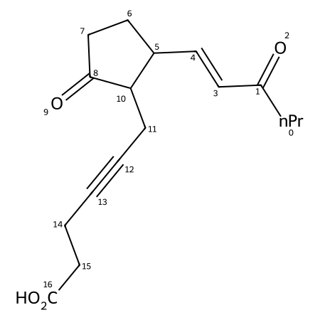 CCCC(=O)/C=C/C1CCC(=O)C1CC#CCCC(=O)O